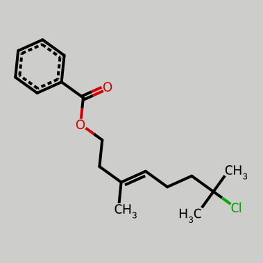 CC(=CCCC(C)(C)Cl)CCOC(=O)c1ccccc1